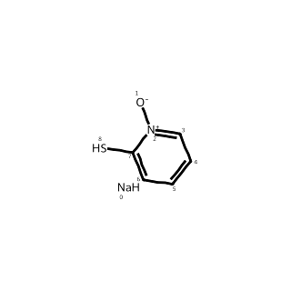 [NaH].[O-][n+]1ccccc1S